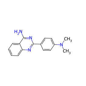 CN(C)c1ccc(-c2nc(N)c3ccccc3n2)cc1